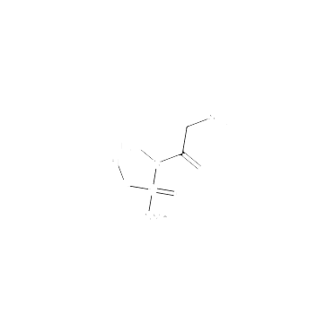 CCC(C)SP(=O)(NC)N(C)C(=S)C[N+](=O)[O-]